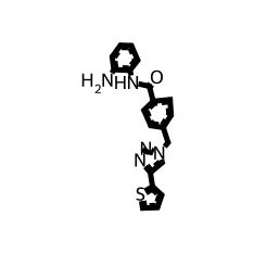 Nc1ccccc1NC(=O)c1ccc(Cn2cc(-c3cccs3)nn2)cc1